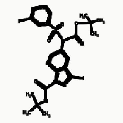 CC(C)(C)OC(=O)N(c1ccc2c(c1)c(I)nn2C(=O)OC(C)(C)C)S(=O)(=O)c1cccc(F)c1